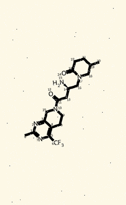 Cc1nc2c(c(C(F)(F)F)n1)CCN(C(=O)C[C@@H](N)CN1CC(C)CCC1=O)C2